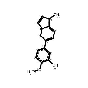 COc1ccc(C2=CC=C3C(C)C=CC3C2)cc1O